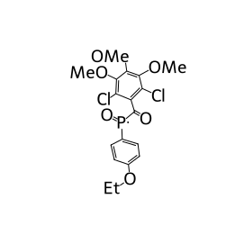 CCOc1ccc([P](=O)C(=O)c2c(Cl)c(OC)c(OC)c(OC)c2Cl)cc1